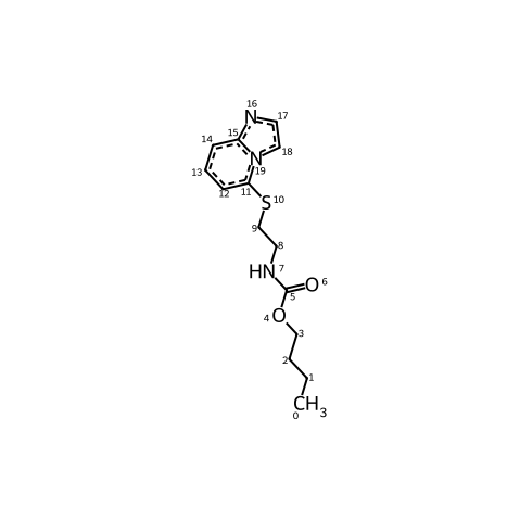 CCCCOC(=O)NCCSc1cccc2nccn12